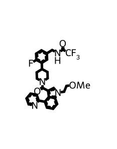 COCCn1cc(C(=O)N2CCC(c3cc(CNC(=O)C(F)(F)F)ccc3F)CC2)c2c(-c3ccccn3)cccc21